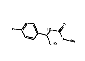 CC(C)(C)OC(=O)NC(C=O)c1ccc(Br)cc1